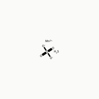 O=S(=O)([O-])[O-].S.[Mn+2]